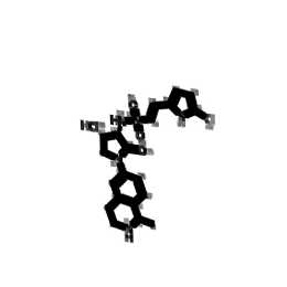 CC1NCCc2cc(N3CC[C@H](NS(=O)(=O)/C=C/c4ccc(Cl)s4)C3=O)ccc21.Cl